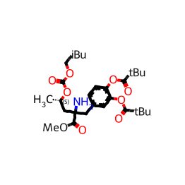 CCC(C)COC(=O)O[C@@H](C)CC(N)(Cc1ccc(OC(=O)C(C)(C)C)c(OC(=O)C(C)(C)C)c1)C(=O)OC